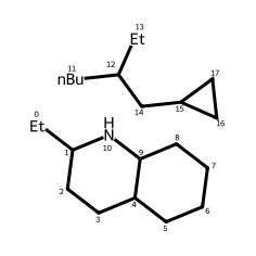 CCC1CCC2CCCCC2N1.CCCCC(CC)CC1CC1